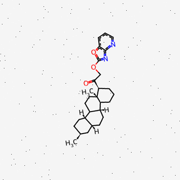 C[C@H]1CC[C@@H]2C3CC[C@@]4(C)C(CCC[C@@H]4C(=O)COc4nc5ncccc5o4)[C@@H]3CC[C@@H]2C1